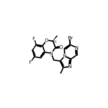 Cc1nc2cnc(Br)cn2c1CN1C(=O)[C@H](C)Oc2c(F)cc(F)cc21